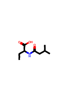 CCC(NC(=O)CC(C)C)C(=O)O